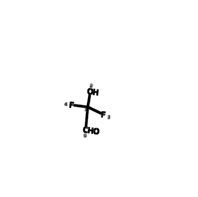 O=CC(O)(F)F